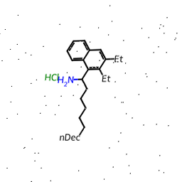 CCCCCCCCCCCCCCCC(N)c1c(CC)c(CC)cc2ccccc12.Cl